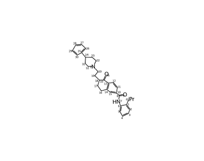 CC(C)c1ccccc1NC(=O)c1ccc2c(c1)CCC(CCN1CCC(c3ccccc3)CC1)C2=O